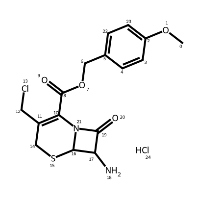 COc1ccc(COC(=O)C2=C(CCl)CSC3C(N)C(=O)N23)cc1.Cl